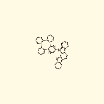 c1ccc2c(c1)-c1ccccc1-c1ncc(-n3c4ccccc4c4ccc5c6ccccc6sc5c43)nc1-c1ccccc1-2